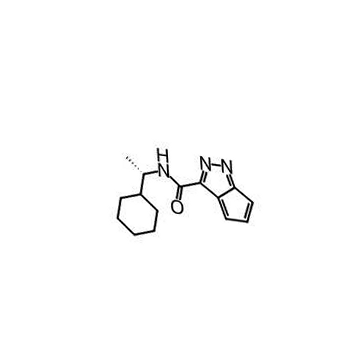 C[C@H](NC(=O)C1=NN=C2C=CC=C21)C1CCCCC1